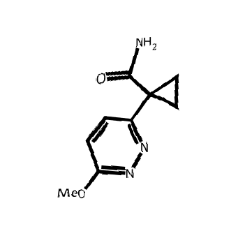 COc1ccc(C2(C(N)=O)CC2)nn1